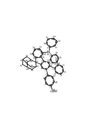 CC(C)(C)c1ccc(-c2cc3c(cc2-c2ccccc2Cl)-c2c(N(c4ccccc4)c4ccccc4)cccc2C32C3CC4CC(C3)CC2C4)cc1